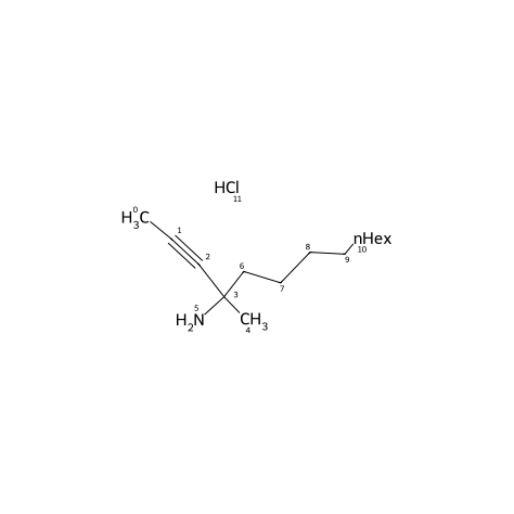 CC#CC(C)(N)CCCCCCCCCC.Cl